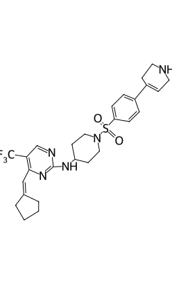 O=S(=O)(c1ccc(C2=CCNCC2)cc1)N1CCC(Nc2ncc(C(F)(F)F)c(C=C3CCCC3)n2)CC1